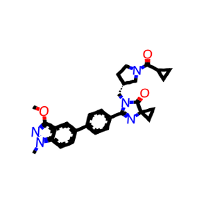 COc1nn(C)c2ccc(-c3ccc(C4=NC5(CC5)C(=O)N4C[C@@H]4CCN(C(=O)C5CC5)C4)cc3)cc12